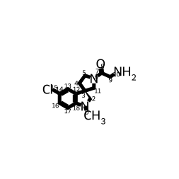 CN1C[C@]2(CCN(C(=O)CN)C2)c2cc(Cl)ccc21